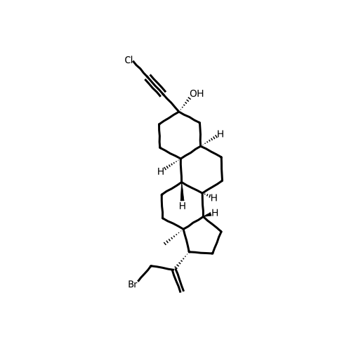 C=C(CBr)[C@H]1CC[C@H]2[C@@H]3CC[C@@H]4C[C@](O)(C#CCl)CC[C@@H]4[C@H]3CC[C@]12C